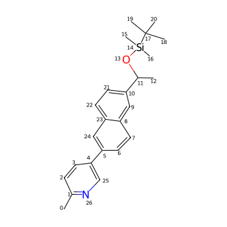 Cc1ccc(-c2ccc3cc(C(C)O[Si](C)(C)C(C)(C)C)ccc3c2)cn1